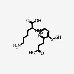 NCCCC[C@H](N)C(=O)O.O=C(O)CCc1ncccc1SS